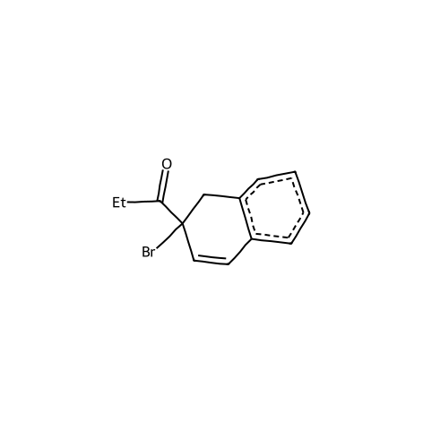 CCC(=O)C1(Br)C=Cc2ccccc2C1